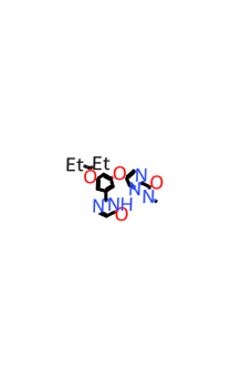 CCC(CC)Oc1cc(Oc2cnc(C(=O)N(C)C)nc2)cc(-c2nccc(=O)[nH]2)c1